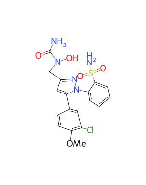 COc1ccc(-c2cc(CN(O)C(N)=O)nn2-c2ccccc2S(N)(=O)=O)cc1Cl